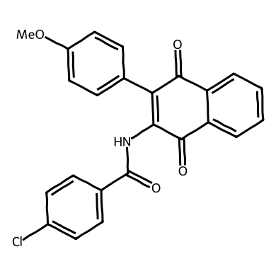 COc1ccc(C2=C(NC(=O)c3ccc(Cl)cc3)C(=O)c3ccccc3C2=O)cc1